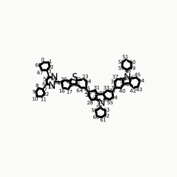 c1ccc(-c2cc(-c3ccccc3)nc(-c3ccc4c(c3)sc3ccc(-c5ccc6c(c5)c5cc(-c7ccc8c(c7)c7ccccc7n8-c7ccccc7)ccc5n6-c5ccccc5)cc34)n2)cc1